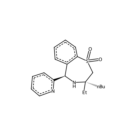 CCCC[C@@]1(CC)CS(=O)(=O)c2ccccc2[C@H](c2ccccn2)N1